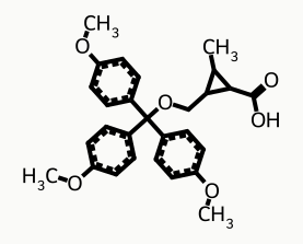 COc1ccc(C(OCC2C(C)C2C(=O)O)(c2ccc(OC)cc2)c2ccc(OC)cc2)cc1